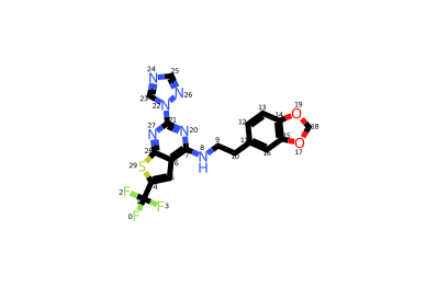 FC(F)(F)c1cc2c(NCCc3ccc4c(c3)OCO4)nc(-n3cncn3)nc2s1